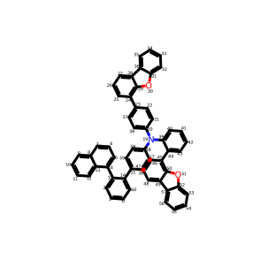 c1ccc(-c2cccc3ccccc23)c(-c2ccc(N(c3ccc(-c4cccc5c4oc4ccccc45)cc3)c3ccccc3-c3cccc4c3oc3ccccc34)cc2)c1